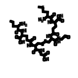 CCCC(N)C(=O)NC(CCC(=O)NC(CSSCC(NC(=O)CCC(NC(=O)C(N)CCSC)C(=O)O)C(=O)NCC=O)C(=O)NCC(=O)O)C(=O)O